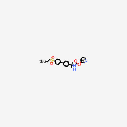 CC(C)(C)CCS(=O)(=O)c1ccc(-c2ccc(C(C)(C)NC(=O)OC3CN4CCC3CC4)cc2)cc1